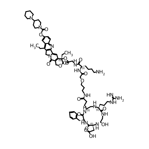 CCc1c2c(nc3ccc(OC(=O)N4CCC(N5CCCCC5)CC4)cc13)-c1cc3c(c(=O)n1C2)COC(=O)[C@@]3(CC)OC(=O)CNC(=O)[C@H](CCCCN)NC(=O)COCCCNC(=O)CC[C@H]1CN[C@@H](CCCNC(=N)N)C(=O)NCC(O)N[C@@H](CC(=O)O)C(=O)N[C@H](Cc2ccccc2)C(=O)N1